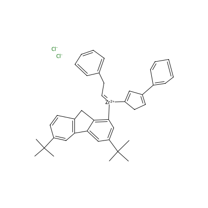 CC(C)(C)c1ccc2c(c1)-c1cc(C(C)(C)C)c[c]([Zr+2](=[CH]Cc3ccccc3)[C]3=CC(c4ccccc4)=CC3)c1C2.[Cl-].[Cl-]